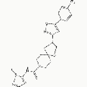 Cn1nnnc1NC(=O)N1CCC2(CC1)CC(c1noc(C3C=CC(C(F)(F)F)=CC3)n1)CO2